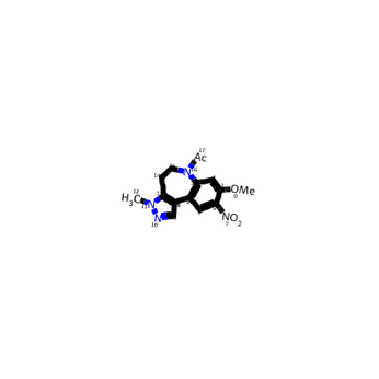 COc1cc2c(cc1[N+](=O)[O-])-c1cnn(C)c1CCN2C(C)=O